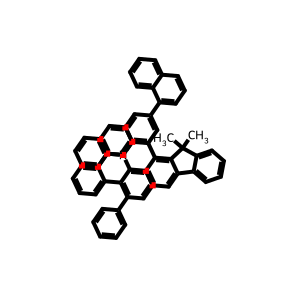 CC1(C)c2ccccc2-c2cccc(-c3cc(-c4cccc5ccccc45)ccc3N(c3ccccc3)c3cccc(-c4ccccc4)c3-c3ccccc3-c3ccccc3)c21